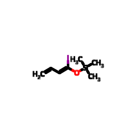 C=CC=C(I)O[Si](C)(C)C